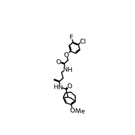 C=C(CCNC(=O)COc1ccc(Cl)c(F)c1)NC(=O)C1CC2=C(OC)C=C1CCC2